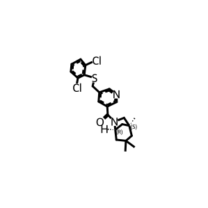 CC1(C)C[C@@H]2C[C@@](C)(CN2C(=O)c2cncc(CSc3c(Cl)cccc3Cl)c2)C1